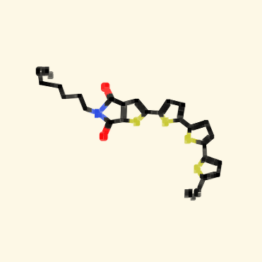 CCCCCCN1C(=O)c2cc(-c3ccc(-c4ccc(-c5ccc(C)s5)s4)s3)sc2C1=O